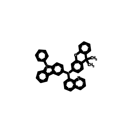 CC1(C)c2ccccc2Oc2cc(N(c3ccc4c(c3)c3ccccc3n4-c3ccccc3)c3cccc4cccnc34)ccc21